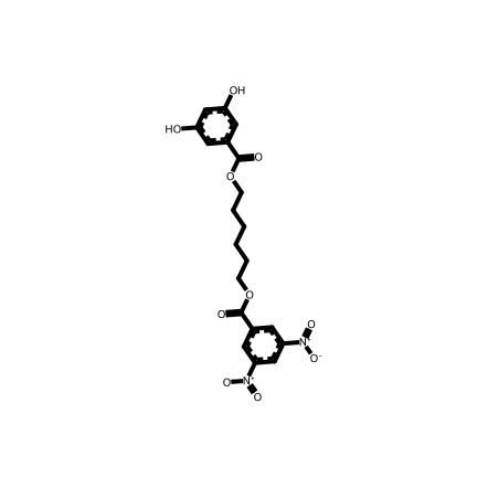 O=C(OCCCCCCOC(=O)c1cc([N+](=O)[O-])cc([N+](=O)[O-])c1)c1cc(O)cc(O)c1